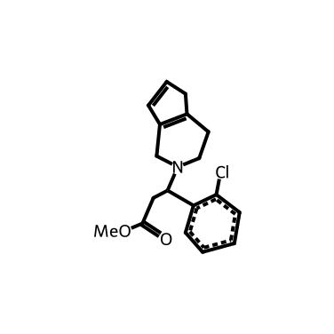 COC(=O)CC(c1ccccc1Cl)N1CCC2=C(C=CC2)C1